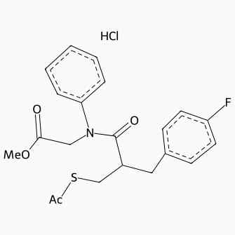 COC(=O)CN(C(=O)C(CSC(C)=O)Cc1ccc(F)cc1)c1ccccc1.Cl